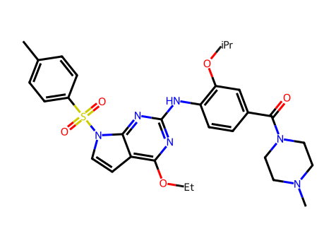 CCOc1nc(Nc2ccc(C(=O)N3CCN(C)CC3)cc2OC(C)C)nc2c1ccn2S(=O)(=O)c1ccc(C)cc1